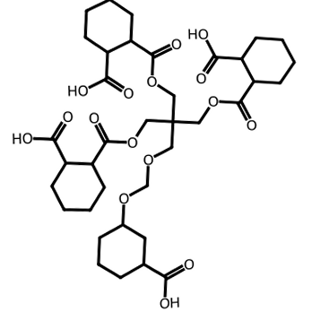 O=C(O)C1CCCC(OCOCC(COC(=O)C2CCCCC2C(=O)O)(COC(=O)C2CCCCC2C(=O)O)COC(=O)C2CCCCC2C(=O)O)C1